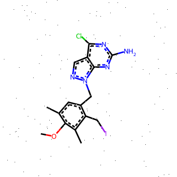 COc1c(C)cc(Cn2ncc3c(Cl)nc(N)nc32)c(CI)c1C